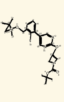 CC(C)(C)OC(=O)N1CC(Oc2ncc(-c3cccc(CO[Si]4(C)CC4(C)C)c3F)cn2)C1